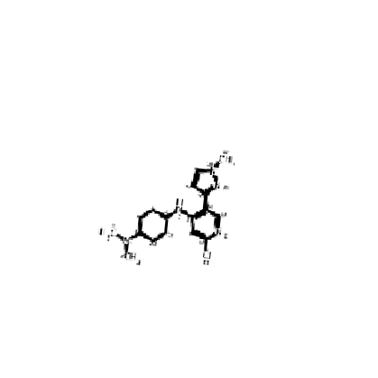 CN(C)C1CCC(Nc2cc(Cl)ncc2-c2ccn(C)n2)CC1